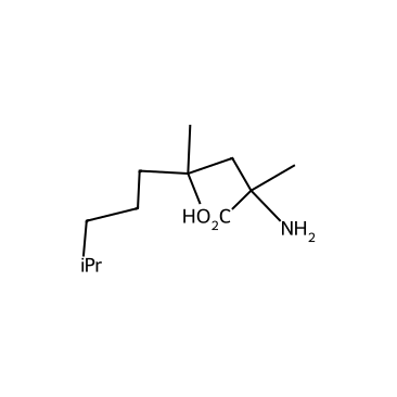 CC(C)CCCC(C)(C)CC(C)(N)C(=O)O